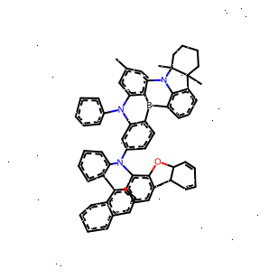 Cc1cc2c3c(c1)N1c4c(cccc4C4(C)CCCCC14C)B3c1ccc(N(c3ccccc3-c3cccc4ccccc34)c3cccc4c3OC3C=CC=CC43)cc1N2c1ccccc1